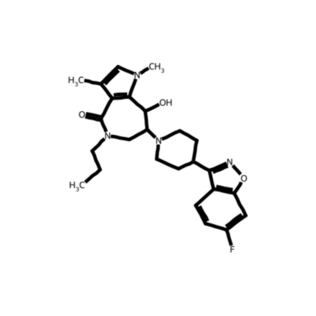 CCCN1CC(N2CCC(c3noc4cc(F)ccc34)CC2)C(O)c2c(c(C)cn2C)C1=O